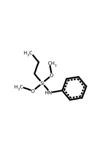 CCC[Si](Nc1ccccc1)(OC)OC